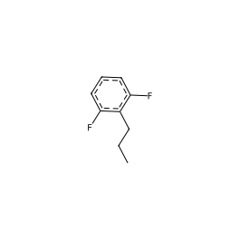 CCCc1c(F)cccc1F